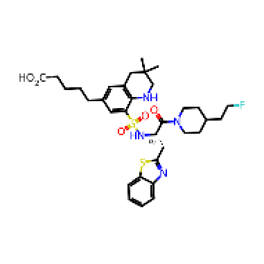 CC1(C)CNc2c(cc(CCCCC(=O)O)cc2S(=O)(=O)N[C@@H](Cc2nc3ccccc3s2)C(=O)N2CCC(CCF)CC2)C1